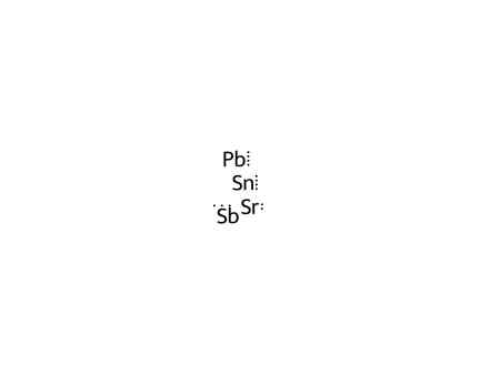 [Pb].[Sb].[Sn].[Sr]